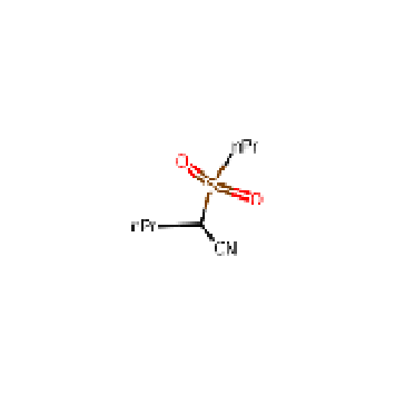 CCCC(C#N)S(=O)(=O)CCC